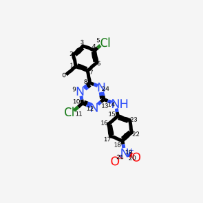 Cc1ccc(Cl)cc1-c1nc(Cl)nc(Nc2ccc([N+](=O)[O-])cc2)n1